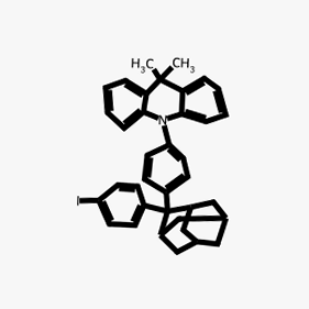 CC1(C)c2ccccc2N(c2ccc(C3(c4ccc(I)cc4)C4CC5CC(C4)CC3C5)cc2)c2ccccc21